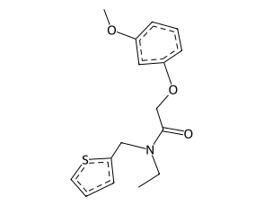 CCN(Cc1cccs1)C(=O)COc1cccc(OC)c1